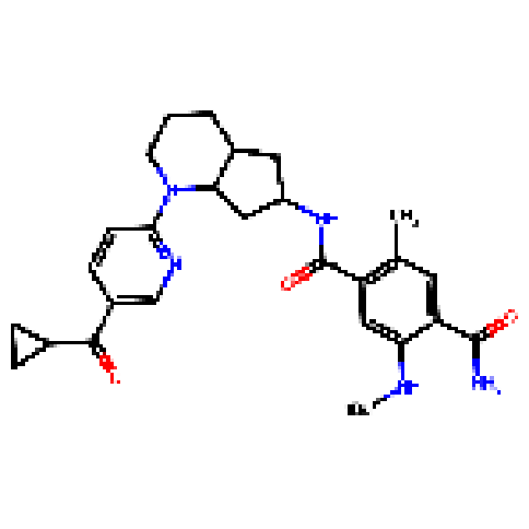 Cc1cc(C(N)=O)c(NC(C)(C)C)cc1C(=O)NC1CC2CCCN(c3ccc(C(=O)C4CC4)cn3)C2C1